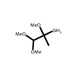 CO[C](OC)C(C)([SiH3])OC